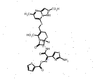 CC1=NC2=CN(C(=O)O)NN2C(SCC2=C(C(=O)O)N3C(=O)[C@@H](NC(=O)/C(=N\OC(=O)c4cccs4)c4csc(N)n4)[C@H]3SC2)=C1